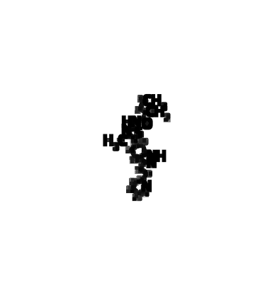 C=C(/C=C\C)C(=O)Nc1nc(C)c(-c2ccc3c(/C=C/c4ccccn4)n[nH]c3c2)s1